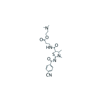 CC1C(C(=O)NCCC(=O)OCCN(C)C)SC(=NC(=O)c2ccc(C#N)cc2)N1C